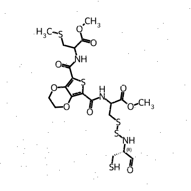 COC(=O)C(CSC)NC(=O)c1sc(C(=O)NC(CSSN[C@H](C=O)CS)C(=O)OC)c2c1OCCO2